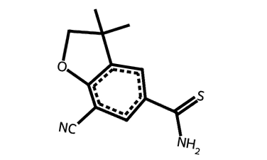 CC1(C)COc2c(C#N)cc(C(N)=S)cc21